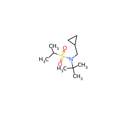 CC(C)S(=O)(=O)N(CC1CC1)C(C)(C)C